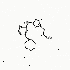 CC(C)(C)CCN1CCC(Nc2nccc(N3CCCCCC3)n2)C1